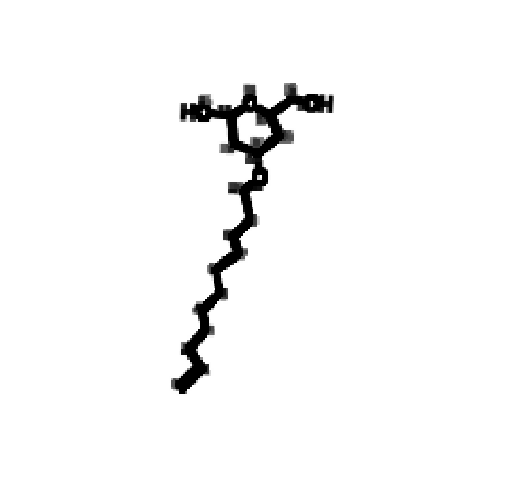 C=CCCCCCCCCCO[C@@H]1CC(O)OC(CO)C1